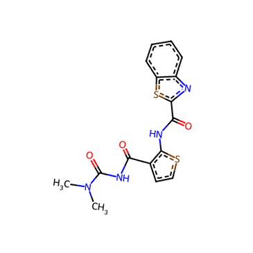 CN(C)C(=O)NC(=O)c1ccsc1NC(=O)c1nc2ccccc2s1